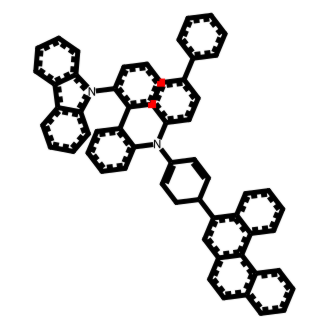 C1=CC(c2cc3ccc4ccccc4c3c3ccccc23)CC=C1N(c1ccc(-c2ccccc2)cc1)c1ccccc1-c1ccccc1-n1c2ccccc2c2ccccc21